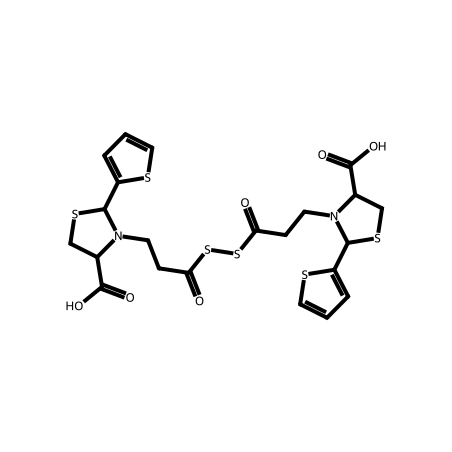 O=C(CCN1C(C(=O)O)CSC1c1cccs1)SSC(=O)CCN1C(C(=O)O)CSC1c1cccs1